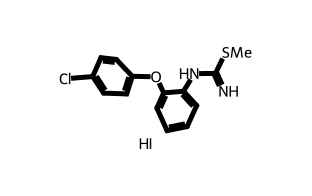 CSC(=N)Nc1ccccc1Oc1ccc(Cl)cc1.I